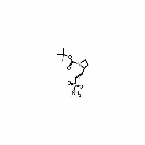 CC(C)(C)OC(=O)N1CCC1/C=C/S(N)(=O)=O